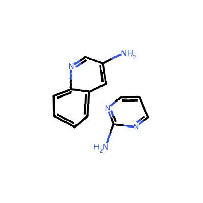 Nc1cnc2ccccc2c1.Nc1ncccn1